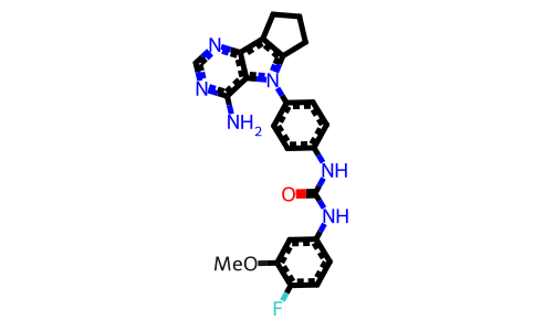 COc1cc(NC(=O)Nc2ccc(-n3c4c(c5ncnc(N)c53)CCC4)cc2)ccc1F